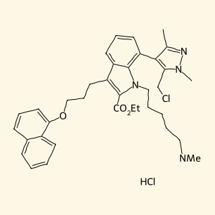 CCOC(=O)c1c(CCCOc2cccc3ccccc23)c2cccc(-c3c(C)nn(C)c3CCl)c2n1CCCCCNC.Cl